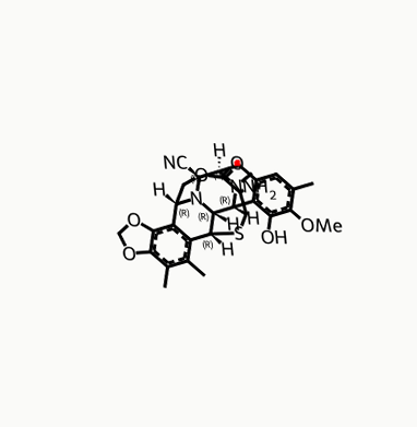 COc1c(C)cc2c(c1O)[C@@H]1[C@@H]3[C@@H]4SCC(N)C(=O)OC[C@@H](c5c6c(c(C)c(C)c54)OCO6)N3[C@@H](C#N)[C@@H](C2)N1C